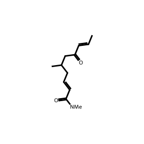 C/C=C/C(=O)CC(C)C/C=C/C(=O)NC